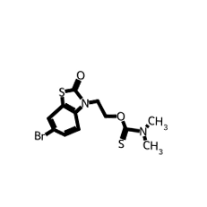 CN(C)C(=S)OCCn1c(=O)sc2cc(Br)ccc21